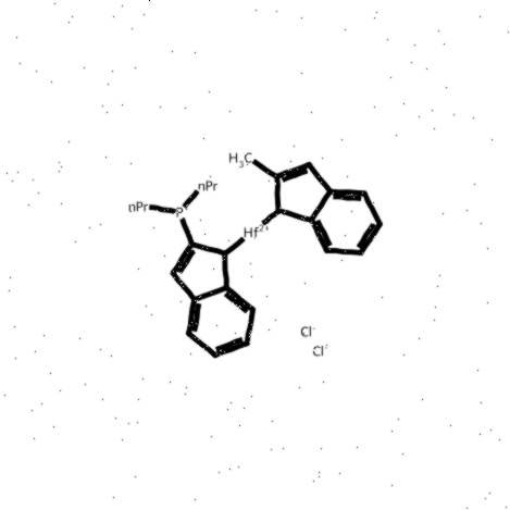 CCCP(CCC)C1=Cc2ccccc2[CH]1[Hf+2][CH]1C(C)=Cc2ccccc21.[Cl-].[Cl-]